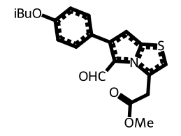 COC(=O)Cc1csc2cc(-c3ccc(OCC(C)C)cc3)c(C=O)n12